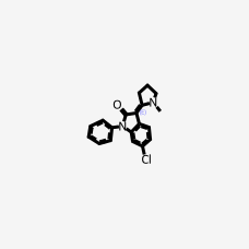 CN1CCC/C1=C1\C(=O)N(c2ccccc2)c2cc(Cl)ccc21